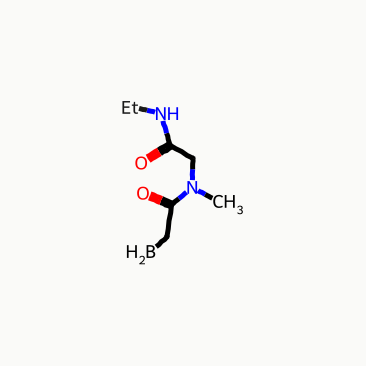 BCC(=O)N(C)CC(=O)NCC